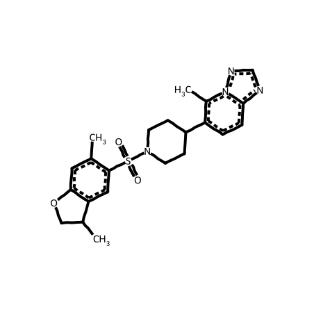 Cc1cc2c(cc1S(=O)(=O)N1CCC(c3ccc4ncnn4c3C)CC1)C(C)CO2